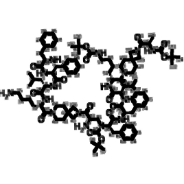 CC(C)C[C@H](NC(=O)[C@H](Cc1ccccc1)NC(=O)[C@@H](N)Cc1ccccc1)C(=O)N[C@@H](CCCCN)C(=O)N1CCC2(CC1)CN(C(=O)[C@@H](N)CN(C(=O)OC(C)(C)C)[C@H](Cc1ccccc1)C(=O)N[C@H](Cc1ccccc1)C(=O)N[C@H](CC(C)C)C(=O)N[C@H](CCCCNC(=O)OC(C)(C)C)C(=O)N1CCC3(CC1)CN(C(=O)[C@@H](C)NC(=O)OC(C)(C)C)C3)C2